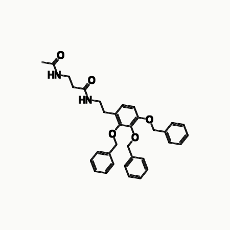 CC(=O)NCCC(=O)NCCc1ccc(OCc2ccccc2)c(OCc2ccccc2)c1OCc1ccccc1